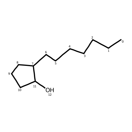 CCCCCCCC1CCCC1O